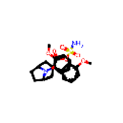 COc1cccc(C2(C(=O)OS(N)(=O)=O)CC3CCC(C2)N3c2ccccc2OC)c1